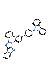 c1ccc2c(c1)[nH]c1c2nc2c3ccccc3c3cc(-c4ccc(-n5c6ccccc6c6ccccc65)cc4)ccc3n21